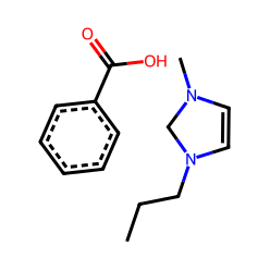 CCCN1C=CN(C)C1.O=C(O)c1ccccc1